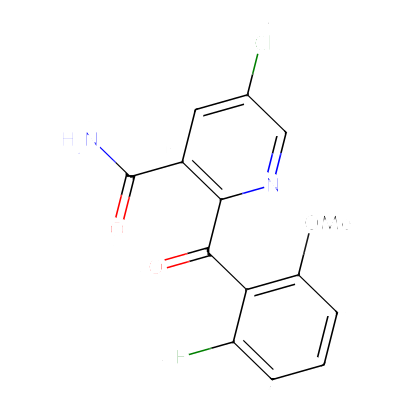 COc1cccc(F)c1C(=O)c1ncc(Cl)cc1C(N)=O